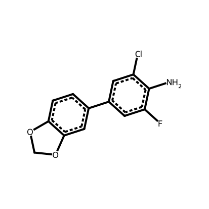 Nc1c(F)cc(-c2ccc3c(c2)OCO3)cc1Cl